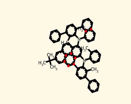 Cc1ccccc1N(c1c(-c2ccccc2)ccc(-c2ccccc2)c1C)c1cc(N(c2ccccc2C)c2c(-c3ccccc3)ccc(-c3ccccc3)c2C)c2ccc3cc(C(C)(C)C)cc4ccc1c2c43